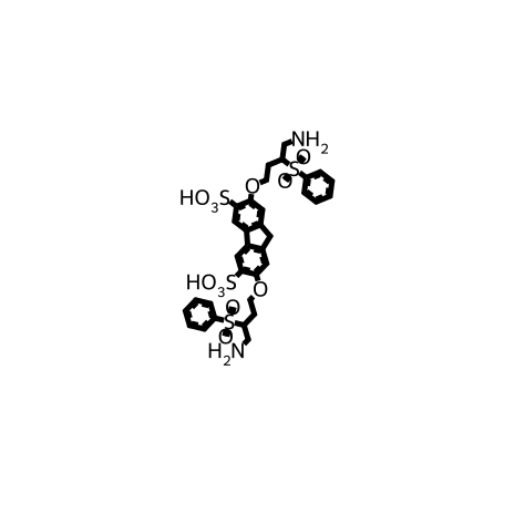 NCC(CCOc1cc2c(cc1S(=O)(=O)O)-c1cc(S(=O)(=O)O)c(OCCC(CN)S(=O)(=O)c3ccccc3)cc1C2)S(=O)(=O)c1ccccc1